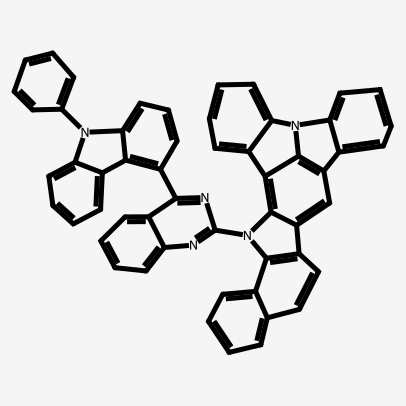 c1ccc(-n2c3ccccc3c3c(-c4nc(-n5c6c7ccccc7ccc6c6cc7c8ccccc8n8c9ccccc9c(c65)c78)nc5ccccc45)cccc32)cc1